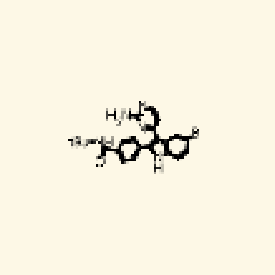 CC(C)(C)NC(=O)c1ccc(-c2[nH]c3ccc(Br)cc3c2-c2ccnc(N)n2)cc1